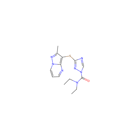 CCN(CC)C(=O)n1cnc(Sc2c(C)nn3cccnc23)n1